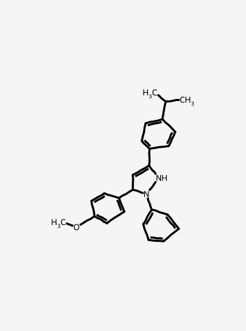 COc1ccc(C2C=C(c3ccc(C(C)C)cc3)NN2c2ccccc2)cc1